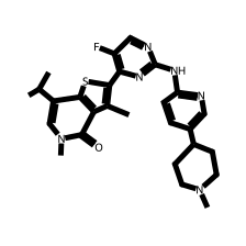 Cc1c(-c2nc(Nc3ccc(C4CCN(C)CC4)cn3)ncc2F)sc2c(C(C)C)cn(C)c(=O)c12